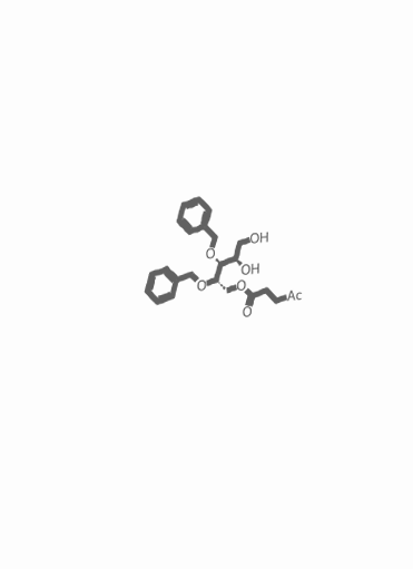 CC(=O)CCC(=O)OC[C@H](OCc1ccccc1)[C@H](OCc1ccccc1)[C@H](O)CO